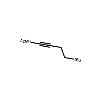 CC(=O)NC#CCCC(C)(C)C